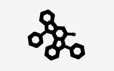 Brc1cc2c3ccccc3n(-c3ccccc3)c2c2c3ccccc3n(-c3ccccc3)c12